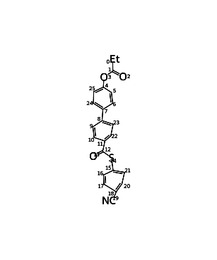 CCC(=O)Oc1ccc(-c2ccc(C(=O)Sc3ccc(C#N)cc3)cc2)cc1